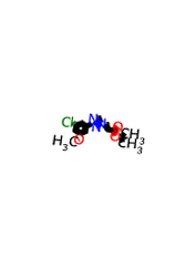 COc1cc(Cl)cc(-c2ncn(C=CC(=O)OC(C)C)n2)c1